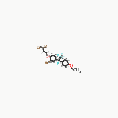 CCOc1ccc(C(F)(c2ccc(OCC=C(Br)Br)c(Br)c2)C(F)(F)F)cc1